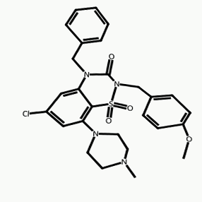 COc1ccc(CN2C(=O)N(Cc3ccccc3)c3cc(Cl)cc(N4CCN(C)CC4)c3S2(=O)=O)cc1